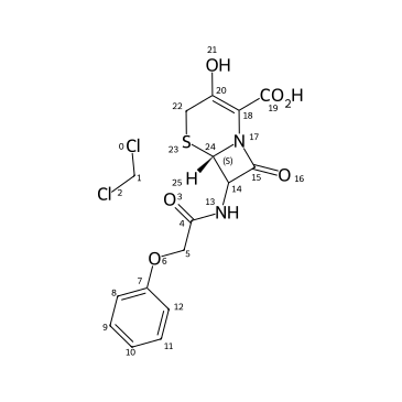 ClCCl.O=C(COc1ccccc1)NC1C(=O)N2C(C(=O)O)=C(O)CS[C@@H]12